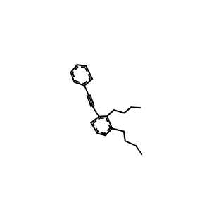 CCCCc1cccc(C#Cc2ccccc2)c1CCCC